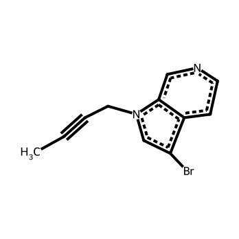 CC#CCn1cc(Br)c2ccncc21